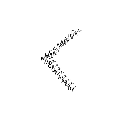 [As-3].[As-3].[As-3].[As-3].[As-3].[As-3].[As-3].[As-3].[Dy+3].[Dy+3].[Dy+3].[Ga+3].[Ga+3].[Ga+3].[Mn+2].[Mn+2].[Mn+2]